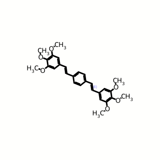 COc1cc(C=Cc2ccc(/C=C/c3cc(OC)c(OC)c(OC)c3)cc2)cc(OC)c1OC